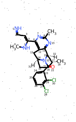 CN/C(=C\C=N)c1nc(C)nc2c1C[C@@H]1CC[C@@H](C)[C@H]2N1C(=O)c1cccc(Cl)c1Cl